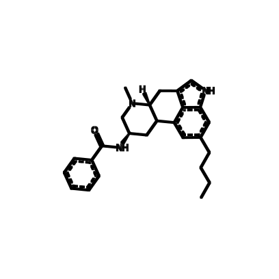 CCCCc1cc2c3c(c[nH]c3c1)C[C@@H]1C2C[C@@H](NC(=O)c2ccccc2)CN1C